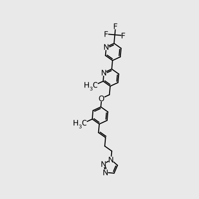 Cc1cc(OCc2ccc(-c3ccc(C(F)(F)F)nc3)nc2C)ccc1C=CCCn1ccnn1